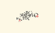 C[C@]12CC3O[C@H]3C[C@H]1CC[C@@H]1[C@@H]2CC[C@]2(C)[C@@H](c3ccoc3)CC[C@@H]12